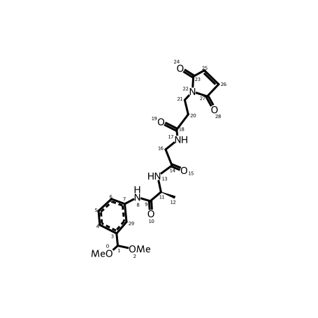 COC(OC)c1cccc(NC(=O)[C@H](C)NC(=O)CNC(=O)CCN2C(=O)C=CC2=O)c1